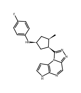 C[C@@H]1C[C@H](Nc2ccc(F)cc2)C[C@@H]1c1nnc2cnc3[nH]ccc3n12